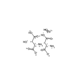 Cl.Cl.N[C@@H](CC(=O)O)C(=O)[O-].N[C@@H](CC(=O)O)C(=O)[O-].[Mg+2]